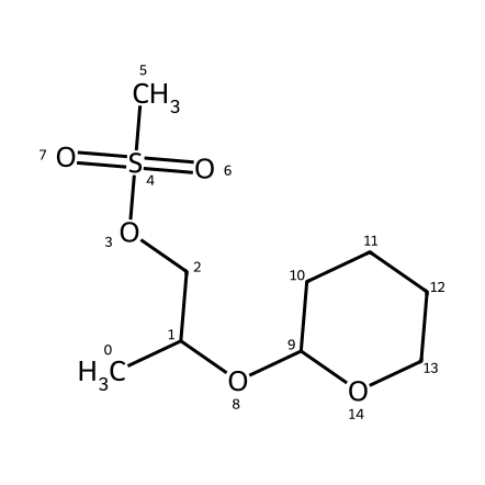 CC(COS(C)(=O)=O)OC1CCCCO1